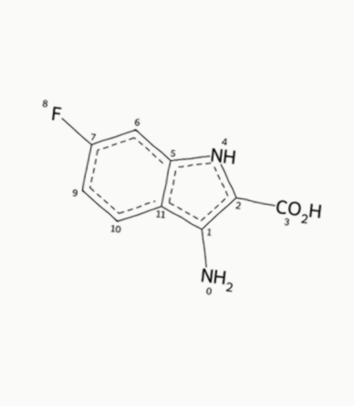 Nc1c(C(=O)O)[nH]c2cc(F)ccc12